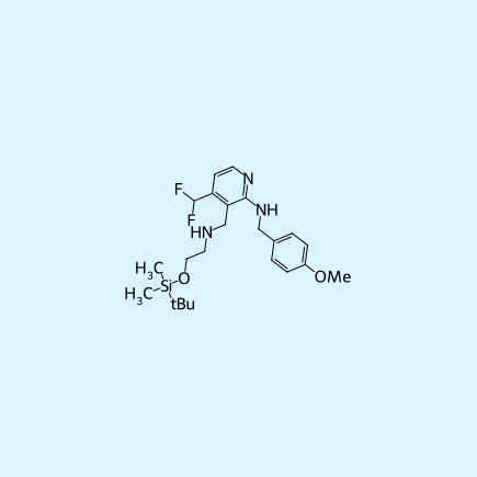 COc1ccc(CNc2nccc(C(F)F)c2CNCCO[Si](C)(C)C(C)(C)C)cc1